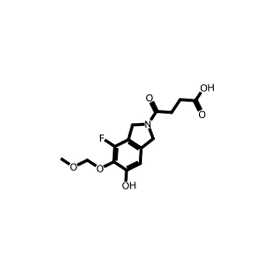 COCOc1c(O)cc2c(c1F)CN(C(=O)CCC(=O)O)C2